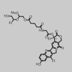 CCc1c2c(nc3ccc(O)cc13)-c1cc3c(c(=O)n1C2)COC(=O)[C@@]3(CC)OC(=O)CNC(=O)CCCC(=O)OCC(OC)OC(CC)CO